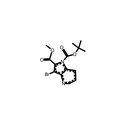 COC(=O)c1c(Br)c2ncccc2n1C(=O)OC(C)(C)C